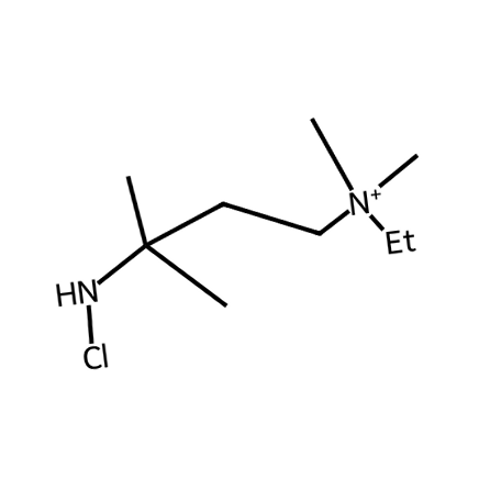 CC[N+](C)(C)CCC(C)(C)NCl